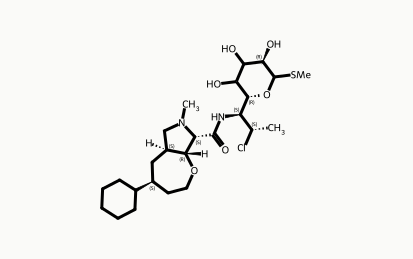 CSC1O[C@H]([C@H](NC(=O)[C@@H]2[C@@H]3OCC[C@@H](C4CCCCC4)C[C@H]3CN2C)[C@H](C)Cl)C(O)C(O)[C@H]1O